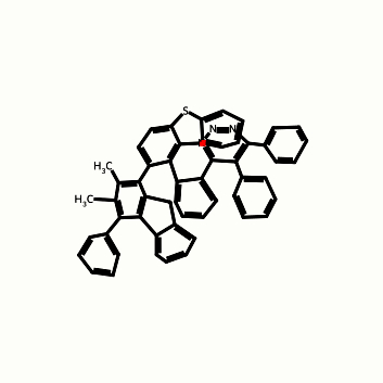 Cc1c(C)c(-c2ccccc2)c2c(c1-c1ccc3sc4ccccc4c3c1-c1ccccc1-c1nnnc(-c3ccccc3)c1-c1ccccc1)Cc1ccccc1-2